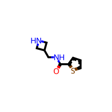 O=C(NCC1CNC1)c1cccs1